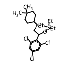 CC[Si](CC)(CC)OC(CNC1CCC(C)(C)CC1)c1c(Cl)cc(Cl)cc1Cl